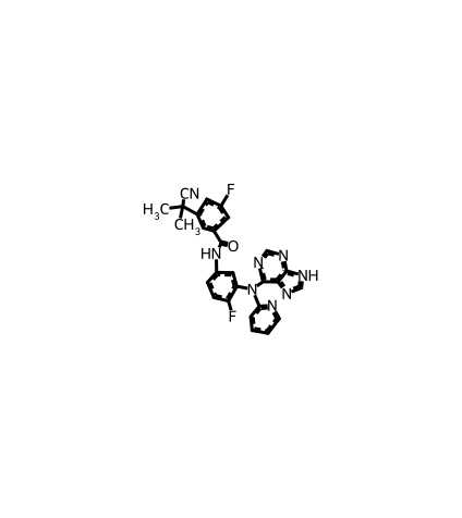 CC(C)(C#N)c1cc(F)cc(C(=O)Nc2ccc(F)c(N(c3ccccn3)c3ncnc4[nH]cnc34)c2)c1